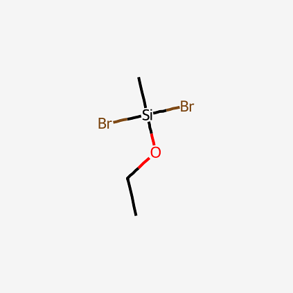 CCO[Si](C)(Br)Br